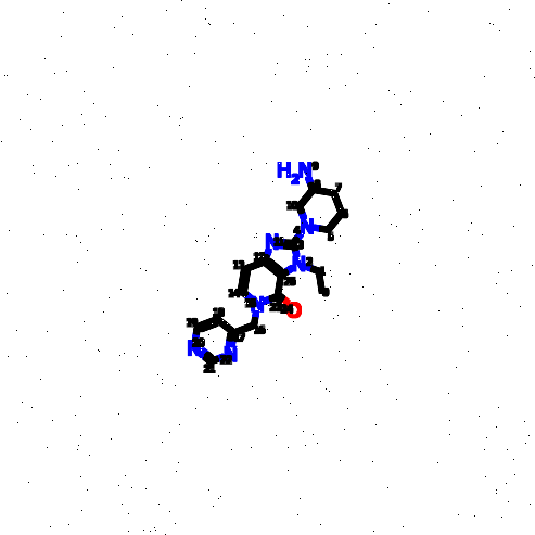 CCn1c(N2CCCC(N)C2)nc2ccn(Cc3ccncn3)c(=O)c21